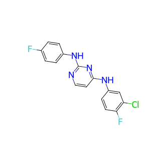 Fc1ccc(Nc2nccc(Nc3ccc(F)c(Cl)c3)n2)cc1